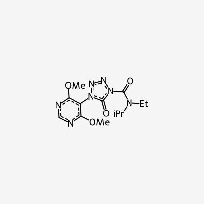 CCN(C(=O)n1nnn(-c2c(OC)ncnc2OC)c1=O)C(C)C